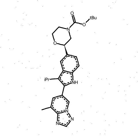 Cc1cc(-c2[nH]c3ccc([C@@H]4CN(C(=O)OC(C)(C)C)CCO4)cc3c2C(C)C)cn2ncnc12